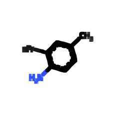 CCCc1cc(C)ccc1N